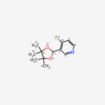 CC1(C)OC(c2cnccc2F)OC1(C)C